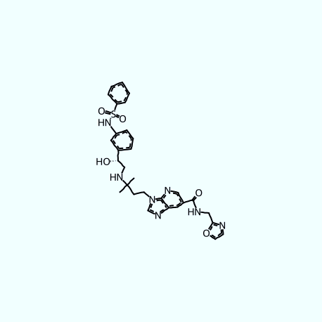 CC(C)(CCn1cnc2cc(C(=O)NCc3ncco3)cnc21)NC[C@H](O)c1cccc(NS(=O)(=O)c2ccccc2)c1